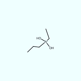 CCC[N+](O)(O)CC